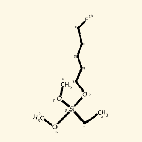 CC[Si](OC)(OC)OCCCCCF